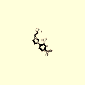 Br.CCCN1C=CN(c2ccc([N+](=O)[O-])cc2)C1